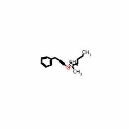 CCCC[Si](C)(C)OC#CCc1ccccc1